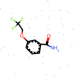 NC(=O)c1c[c]cc(OCC(F)(F)F)c1